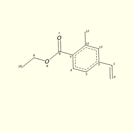 C=Cc1ccc(C(=O)OCC)c(C)c1